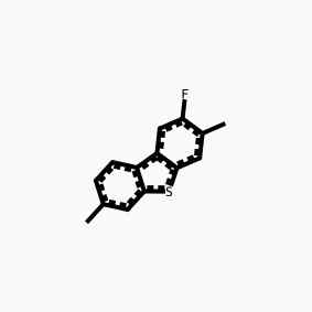 Cc1ccc2c(c1)sc1cc(C)c(F)cc12